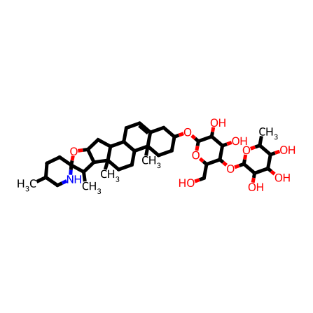 CC1CCC2(NC1)OC1CC3C4CC=C5CC(OC6OC(CO)C(OC7OC(C)C(O)C(O)C7O)C(O)C6O)CCC5(C)C4CCC3(C)C1C2C